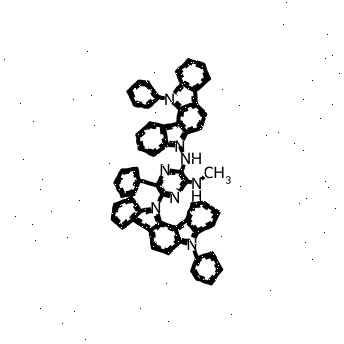 CNc1nc(-n2c3ccccc3c3ccc4c(c5ccccc5n4-c4ccccc4)c32)c(-c2ccccc2)nc1Nn1c2ccccc2c2c1ccc1c3ccccc3n(-c3ccccc3)c12